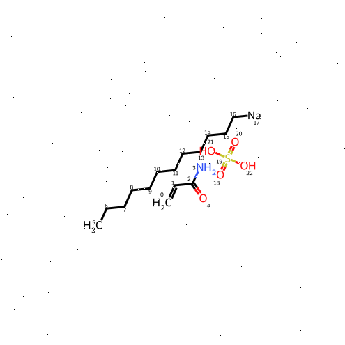 C=CC(N)=O.CCCCCCCCCCC[CH2][Na].O=S(=O)(O)O